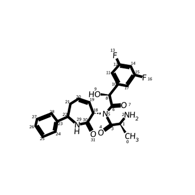 C[C@H](N)C(=O)N(C(=O)[C@@H](O)c1cc(F)cc(F)c1)[C@H]1C=CCC(c2ccccc2)NC1=O